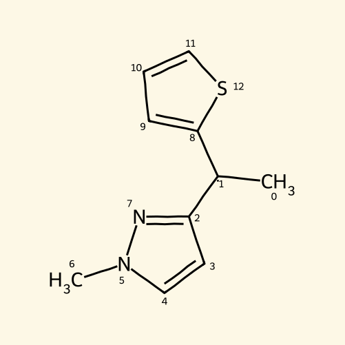 C[C](c1ccn(C)n1)c1cccs1